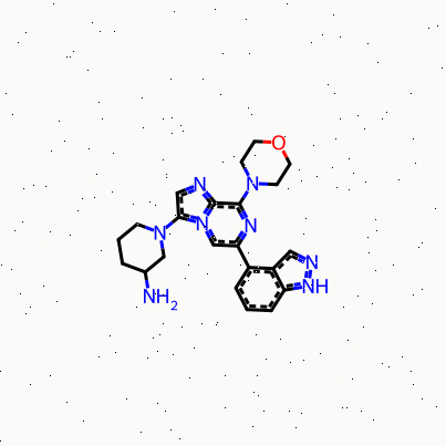 NC1CCCN(c2cnc3c(N4CCOCC4)nc(-c4cccc5[nH]ncc45)cn23)C1